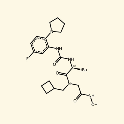 CC(C)(C)[C@H](NC(=O)Nc1cc(F)ccc1N1CCCC1)C(=O)N(CC(=O)NO)CC1CCC1